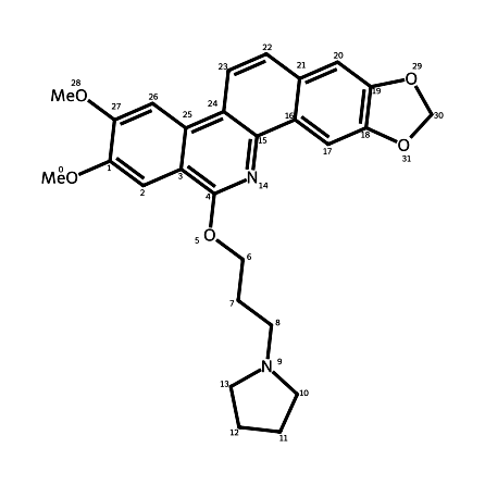 COc1cc2c(OCCCN3CCCC3)nc3c4cc5c(cc4ccc3c2cc1OC)OCO5